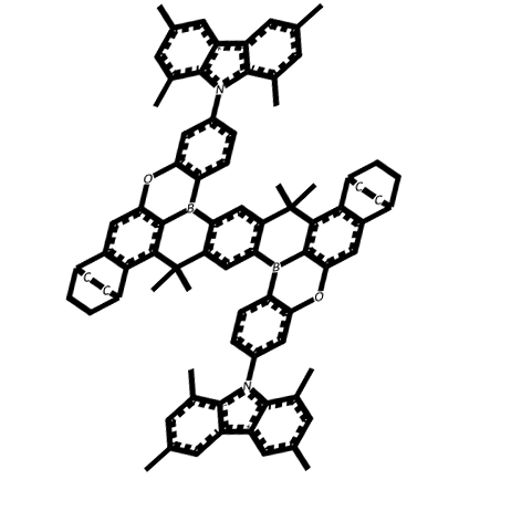 Cc1cc(C)c2c(c1)c1cc(C)cc(C)c1n2-c1ccc2c(c1)Oc1cc3c(c4c1B2c1cc2c(cc1C4(C)C)B1c4ccc(-n5c6c(C)cc(C)cc6c6cc(C)cc(C)c65)cc4Oc4cc5c(c(c41)C2(C)C)C1CCC5CC1)C1CCC3CC1